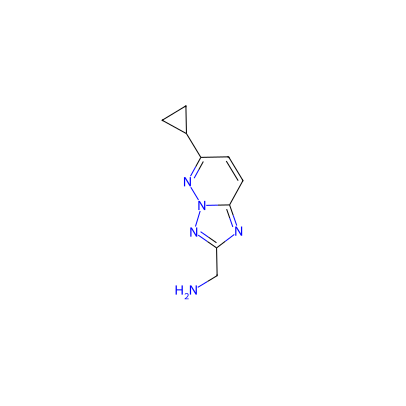 NCc1nc2ccc(C3CC3)nn2n1